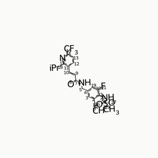 C#Cc1cc(CNC(=O)C=Cc2ccc(C(F)(F)F)nc2C(C)C)cc(F)c1NS(C)(=O)=O